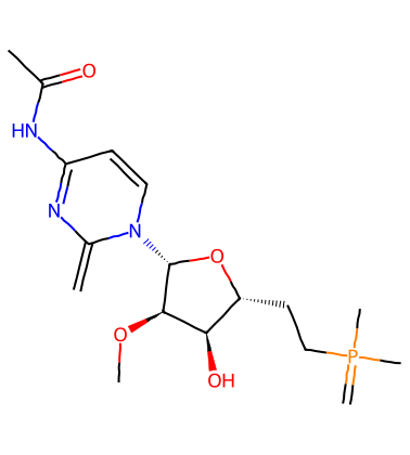 C=C1N=C(NC(C)=O)C=CN1[C@@H]1O[C@H](CCP(=C)(C)C)[C@@H](O)[C@H]1OC